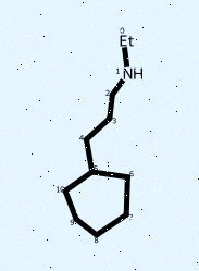 [CH2]CNCCCC1CCCCC1